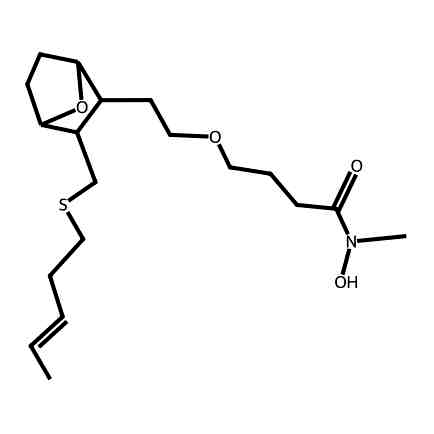 CC=CCCSCC1C2CCC(O2)C1CCOCCCC(=O)N(C)O